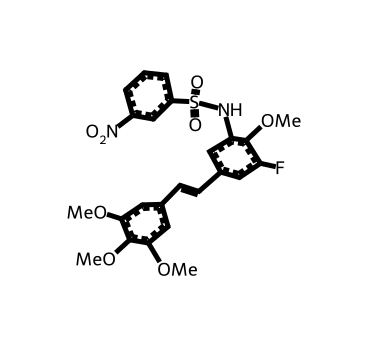 COc1cc(C=Cc2cc(F)c(OC)c(NS(=O)(=O)c3cccc([N+](=O)[O-])c3)c2)cc(OC)c1OC